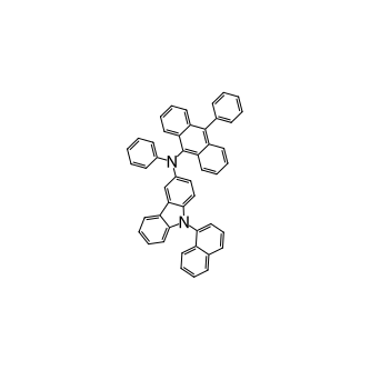 c1ccc(-c2c3ccccc3c(N(c3ccccc3)c3ccc4c(c3)c3ccccc3n4-c3cccc4ccccc34)c3ccccc23)cc1